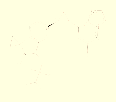 O=C1N(CC(F)(F)C(F)F)c2cc([C@H]3CC3c3cc(Cl)nn4ccnc34)ccc2C12CC2